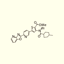 COC(=O)c1sc(-c2ccc(-c3nc4ncccc4o3)nc2)cc1N(C(=O)C1CCC(C)CC1)C(C)C